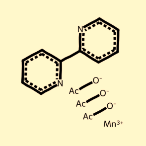 CC(=O)[O-].CC(=O)[O-].CC(=O)[O-].[Mn+3].c1ccc(-c2ccccn2)nc1